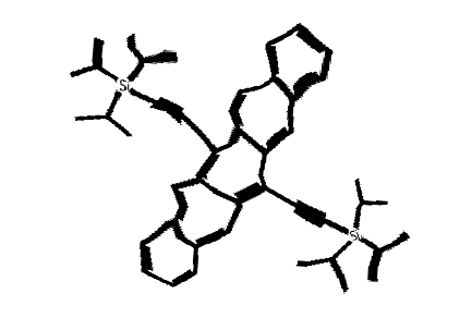 C=C(C)[Si](C#Cc1c2cc3ccccc3cc2c(C#C[Si](C(=C)C)(C(C)C)C(C)C)c2cc3ccccc3cc12)(C(C)C)C(C)C